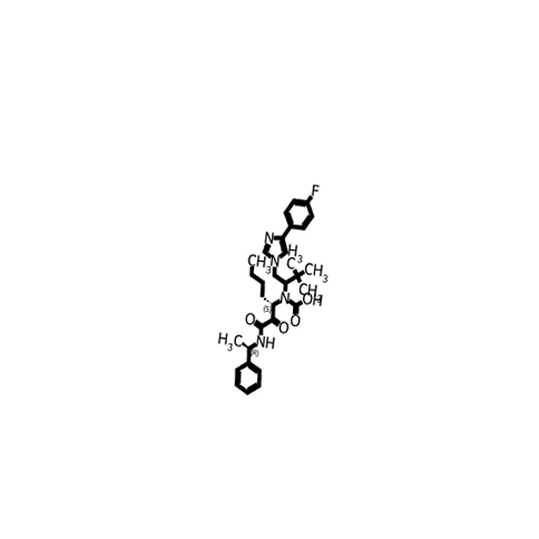 CCCC[C@@H](C(=O)C(=O)N[C@H](C)c1ccccc1)N(C(=O)O)C(Cn1cnc(-c2ccc(F)cc2)c1)C(C)(C)C